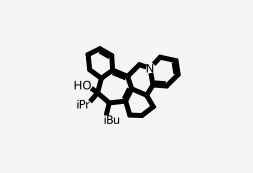 CCC(C)C1C2=C3C(=C4C=CCCC4C1(O)C(C)C)CN1CC=CC=C1C3CCC2